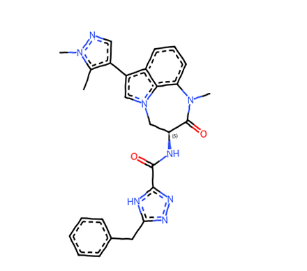 Cc1c(-c2cn3c4c(cccc24)N(C)C(=O)[C@@H](NC(=O)c2nnc(Cc4ccccc4)[nH]2)C3)cnn1C